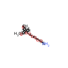 COc1ccc(C(OCCOCCOCCOCCOCCOCCN)(c2ccccc2)c2ccc(OC)cc2)cc1